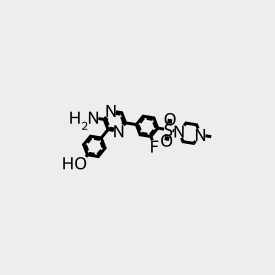 CN1CCN(S(=O)(=O)c2ccc(-c3cnc(N)c(-c4ccc(O)cc4)n3)cc2F)CC1